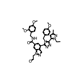 CCn1nc(C)cc1-c1nnc(-c2cc(C(=O)NCc3ccc(OC)cc3OC)cc3c2cnn3CC=O)n1Cc1ccc(OC)cc1